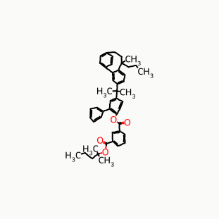 CCCC(C)(C)OC(=O)c1cccc(C(=O)Oc2ccc(C(C)(C)c3ccc4c(c3)-c3ccc(cc3)CCC4(C)CCC)cc2-c2ccccc2)c1